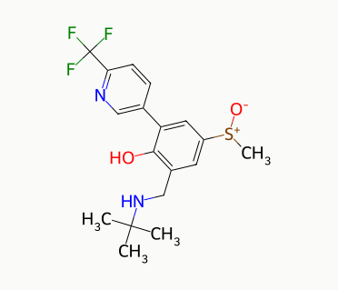 C[S+]([O-])c1cc(CNC(C)(C)C)c(O)c(-c2ccc(C(F)(F)F)nc2)c1